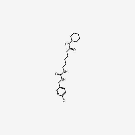 O=C(CCCCCNC(=O)NCc1ccc(Cl)cc1)NC1CCCCC1